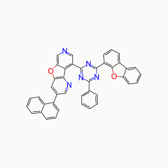 c1ccc(-c2nc(-c3cccc4c3oc3ccccc34)nc(-c3cncc4oc5cc(-c6cccc7ccccc67)cnc5c34)n2)cc1